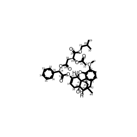 COc1ccc2c3c1O[C@H]1C(OC(=O)[C@@H](OC(=O)C[C@H](OC(C)=O)C(=O)OCC(C)C)c4ccccc4)=CC[C@@]4(O)[C@@H](C2)C(C)CC[C@]314